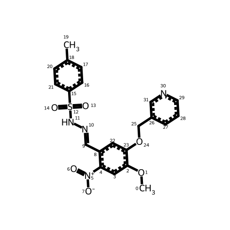 COc1cc([N+](=O)[O-])c(C=NNS(=O)(=O)c2ccc(C)cc2)cc1OCc1cccnc1